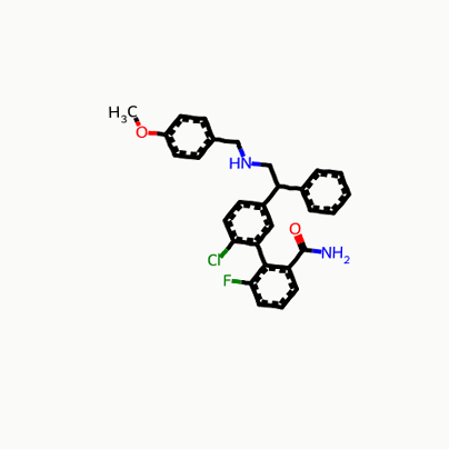 COc1ccc(CNCC(c2ccccc2)c2ccc(Cl)c(-c3c(F)cccc3C(N)=O)c2)cc1